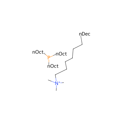 CCCCCCCCCCCCCCCC[N+](C)(C)C.CCCCCCCCP(CCCCCCCC)CCCCCCCC